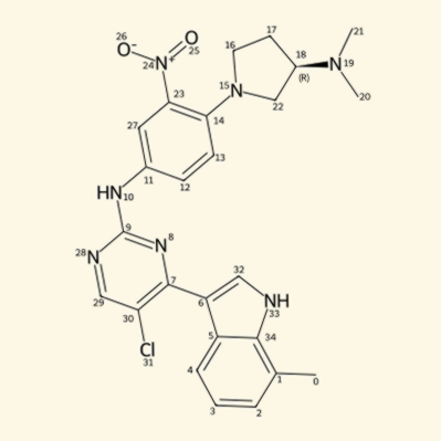 Cc1cccc2c(-c3nc(Nc4ccc(N5CC[C@@H](N(C)C)C5)c([N+](=O)[O-])c4)ncc3Cl)c[nH]c12